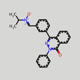 CC(C)/[N+]([O-])=C/c1cccc(-c2nn(-c3ccccc3)c(=O)c3ccccc23)c1